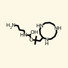 CC(C)(CC1CCNCCCNCCCN1)OC(O)NCCCN